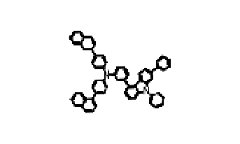 c1ccc(-c2ccc3c4c(-c5cccc(N(c6ccc(-c7ccc8ccccc8c7)cc6)c6ccc(-c7cccc8ccccc78)cc6)c5)cccc4n(-c4ccccc4)c3c2)cc1